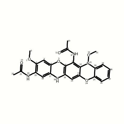 COc1cc2oc3c(NC(C)=O)c4c(cc3[nH]c2cc1NC(C)=O)oc1ccccc1n4OC